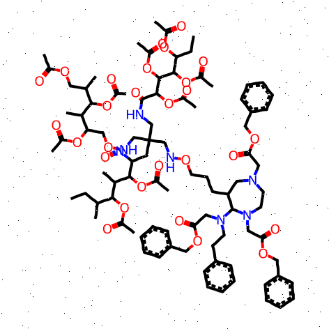 CCC(C)C(OC(C)=O)C(C)C(OC(C)=O)C(CC(CNOCCCC1CN(CC(=O)OCc2ccccc2)CCN(CC(=O)OCc2ccccc2)C1N(CCc1ccccc1)CC(=O)OCc1ccccc1)(CNOCC(OC(C)=O)C(C)C(OC(C)=O)C(C)COC(C)=O)CNC(=O)C(OC(C)=O)C(OC(C)=O)C(OC(C)=O)C(CC)OC(C)=O)N=O